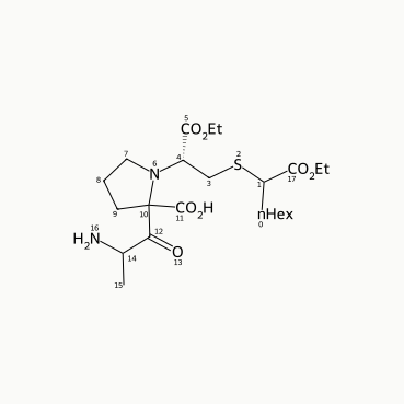 CCCCCCC(SC[C@@H](C(=O)OCC)N1CCCC1(C(=O)O)C(=O)C(C)N)C(=O)OCC